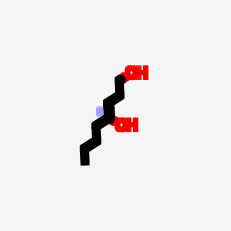 CCCC/C(O)=C/CCO